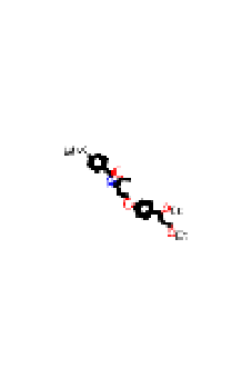 CCOCCC(OCC)c1ccc(OCCc2nc(-c3ccc(SC)cc3)oc2C)cc1